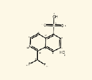 Cl.O=S(=O)(O)c1cccc2c(C(F)F)nccc12